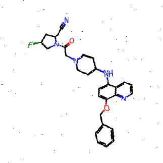 N#CC1C[C@H](F)CN1C(=O)CN1CCC(Nc2ccc(OCc3ccccc3)c3ncccc23)CC1